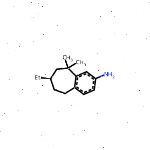 CC[C@@H]1CCc2ccc(N)cc2C(C)(C)C1